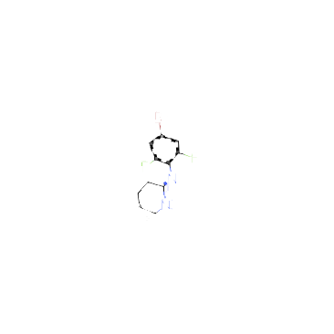 C[C@@H]1CCC/C(=N\c2c(F)cc(Br)cc2F)N1